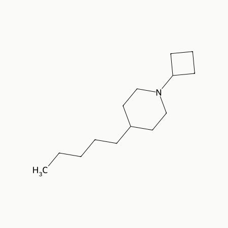 CCCCCC1CCN(C2CCC2)CC1